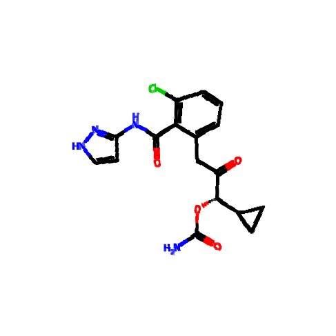 NC(=O)O[C@H](C(=O)Cc1cccc(Cl)c1C(=O)Nc1cc[nH]n1)C1CC1